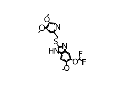 COc1cnc(CSc2nc3cc(OC(F)F)c(OC)cc3[nH]2)cc1OC